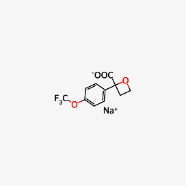 O=C([O-])C1(c2ccc(OC(F)(F)F)cc2)CCO1.[Na+]